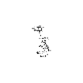 CC(=O)OCC1=C(C(=O)O)N2C(=O)[C@@H](NCC(N)CCCc3cccc4c3OCO4)[C@H]2SC1